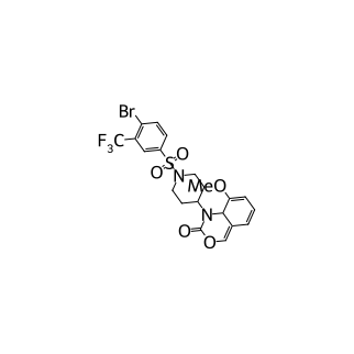 COC1=CC=CC2=COC(=O)N(C3CCN(S(=O)(=O)c4ccc(Br)c(C(F)(F)F)c4)CC3)C21